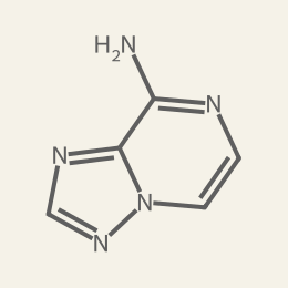 Nc1nccn2ncnc12